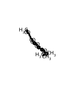 C=CC(=O)OCCCCCCOC(=O)Oc1ccc(C(=O)Oc2ccc(-c3ccc(C(=O)OC4CC(C)CCC4C(C)C)cc3)cc2)cc1